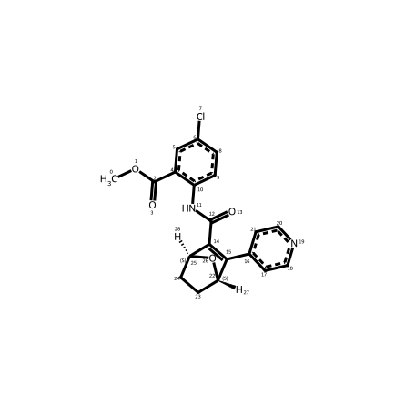 COC(=O)c1cc(Cl)ccc1NC(=O)C1=C(c2ccncc2)[C@@H]2CC[C@@H]1O2